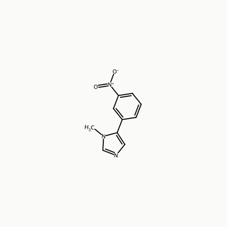 Cn1cncc1-c1cccc([N+](=O)[O-])c1